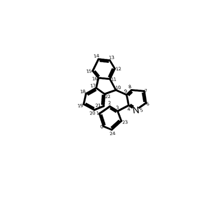 c1ccc(-c2ncccc2C2c3ccccc3-c3ccccc32)cc1